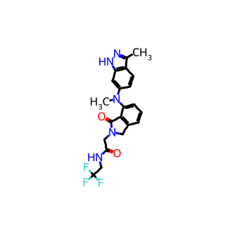 Cc1n[nH]c2cc(N(C)c3cccc4c3C(=O)N(CC(=O)NCC(F)(F)F)C4)ccc12